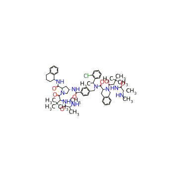 CN[C@@H](C)C(=O)N[C@H](C(=O)N1C[C@@H](NC(=O)c2ccc(CN(C(=O)C3Cc4ccccc4CN3C(=O)[C@@H](NC(=O)[C@H](C)NC)C(C)(C)C)C(C)c3ccccc3Cl)cc2)CC1C(=O)NC1CCCc2ccccc21)C(C)(C)C